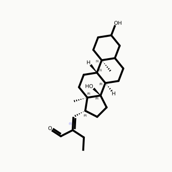 CC/C(C=O)=C\[C@H]1CC[C@@]2(O)[C@@H]3CCC4CC(O)CC[C@]4(C)[C@H]3CC[C@]12C